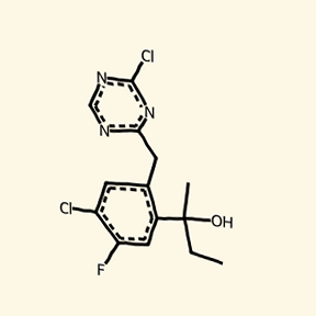 CCC(C)(O)c1cc(F)c(Cl)cc1Cc1ncnc(Cl)n1